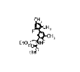 CCOC(=O)C[C@H](NC(=O)OC(C)(C)C)c1cc(-c2c(C)cc(C)cc2F)cc(C)c1F